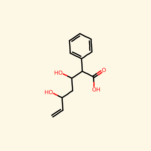 C=CC(O)CC(O)C(C(=O)O)c1ccccc1